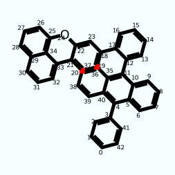 c1ccc(-c2c3ccccc3c(-c3ccccc3-c3ccc4c(c3)Oc3cccc5cccc-4c35)c3ccccc23)cc1